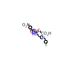 O=C(NCCC1=CCN(Cc2ccc(F)cc2)CC1)c1noc(-c2ccc([N+](=O)[O-])cc2)n1.O=C(O)/C=C/C(=O)O